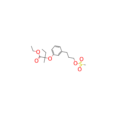 CCOC(=O)C(C)(CC)Oc1cccc(CCCOS(C)(=O)=O)c1